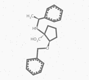 C[C@H](N[C@@]1(C(=O)O)CCC[C@H]1OCc1ccccc1)c1ccccc1